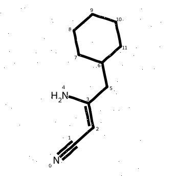 N#C/C=C(\N)CC1CCCCC1